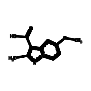 COc1ccn2nc(C)c(C(=O)O)c2c1